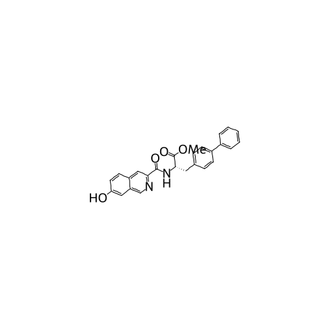 COC(=O)[C@H](Cc1ccc(-c2ccccc2)cc1)NC(=O)c1cc2ccc(O)cc2cn1